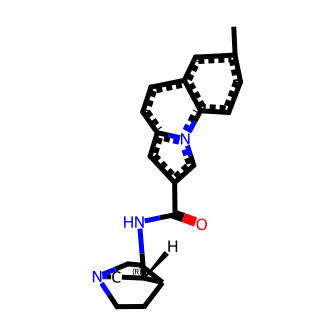 Cc1ccc2c(ccc3cc(C(=O)N[C@H]4CN5CCC4CC5)cn32)c1